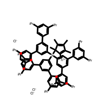 CC1=C(C)C(C)([Si](c2cc(-c3cc(C(C)C)cc(C(C)C)c3)cc(-c3cc(C(C)C)cc(C(C)C)c3)c2)(c2cc(-c3cc(C(C)C)cc(C(C)C)c3)cc(-c3cc(C(C)C)cc(C(C)C)c3)c2)c2cc(-c3cc(C(C)C)cc(C(C)C)c3)cc(-c3cc(C(C)C)cc(C(C)C)c3)c2)[C]([Ti+3])=C1C.[Cl-].[Cl-].[Cl-]